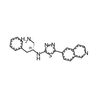 NC[C@@H](Cc1ccccc1)Nc1nnc(-c2ccc3cnccc3c2)s1